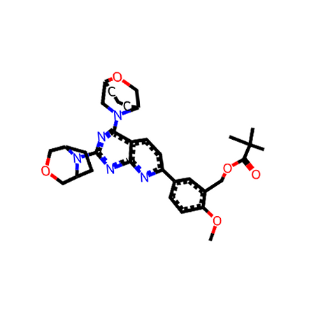 COc1ccc(-c2ccc3c(N4CC5CCCC4CO5)nc(N4C5CCC4COC5)nc3n2)cc1COC(=O)C(C)(C)C